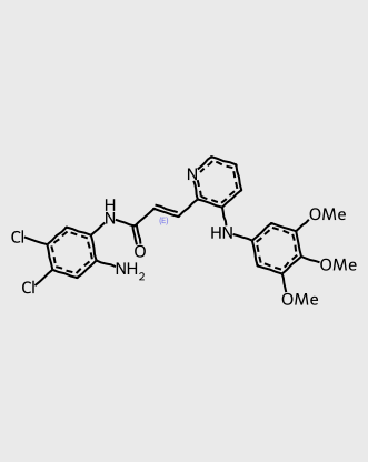 COc1cc(Nc2cccnc2/C=C/C(=O)Nc2cc(Cl)c(Cl)cc2N)cc(OC)c1OC